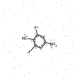 Bc1cc(F)c(C#N)c(F)c1